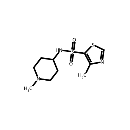 Cc1n[c]sc1S(=O)(=O)NC1CCN(C)CC1